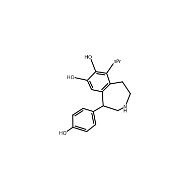 CCCc1c(O)c(O)cc2c1CCNCC2c1ccc(O)cc1